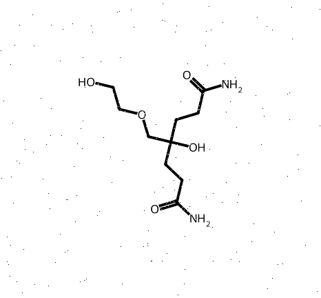 NC(=O)CCC(O)(CCC(N)=O)COCCO